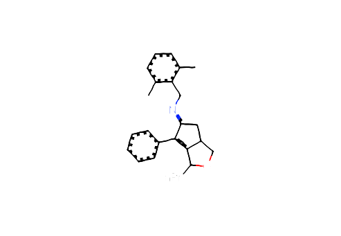 CCCC1OCC2CC(=NCc3c(C)cccc3C)C(c3ccccc3)=C21